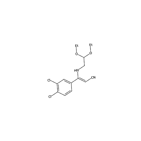 CCOC(CNC(=CC#N)c1ccc(Cl)c(Cl)c1)OCC